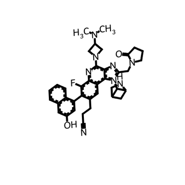 CN(C)C1CN(c2nc3c(F)c(-c4cc(O)cc5ccccc45)c(CCC#N)cc3c3c2nc(CN2CCCC2=O)n3C2C3CNC2C3)C1